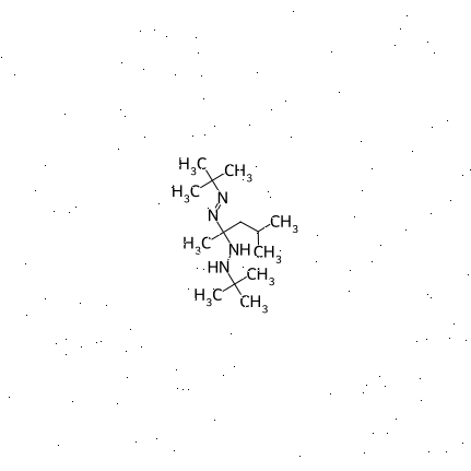 CC(C)CC(C)(/N=N/C(C)(C)C)NNC(C)(C)C